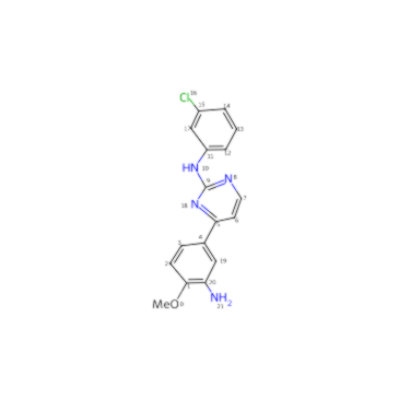 COc1ccc(-c2ccnc(Nc3cccc(Cl)c3)n2)cc1N